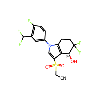 N#CCS(=O)(=O)c1cn(-c2ccc(F)c(C(F)F)c2)c2c1[C@H](O)C(F)(F)CC2